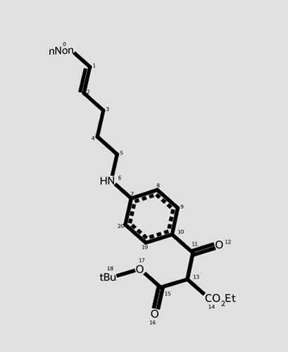 CCCCCCCCCC=CCCCNc1ccc(C(=O)C(C(=O)OCC)C(=O)OC(C)(C)C)cc1